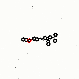 C1=CC2C3c4ccccc4C(c4cc(-c5ccc6cc(/C=C/c7ccc8c(c7)C7(Cc9ccccc9C7)c7cc(N(c9ccccc9)c9ccccc9)ccc7-8)ccc6c5)ccc43)C2C=C1